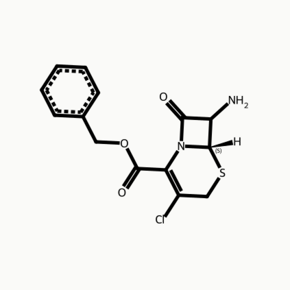 NC1C(=O)N2C(C(=O)OCc3ccccc3)=C(Cl)CS[C@@H]12